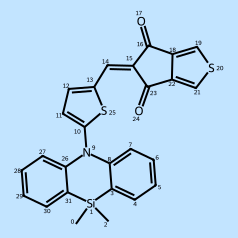 C[Si]1(C)c2ccccc2N(c2ccc(C=C3C(=O)c4cscc4C3=O)s2)c2ccccc21